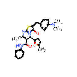 CC1=C(C(=O)Nc2ccccc2)C(c2ccc(C)o2)n2c(s/c(=C/c3ccc(N(C)C)cc3)c2=O)=N1